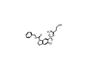 N/C(CCO)=N\S(=O)(=O)c1cc2c(cc1Cl)CCN2C(=O)OCc1ccccc1